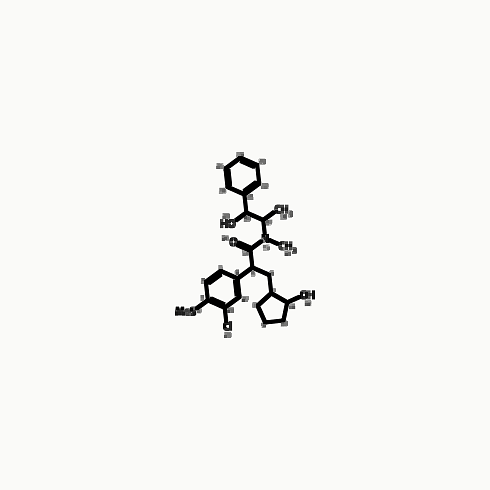 CSc1ccc(C(CC2CCCC2O)C(=O)N(C)C(C)C(O)c2ccccc2)cc1Cl